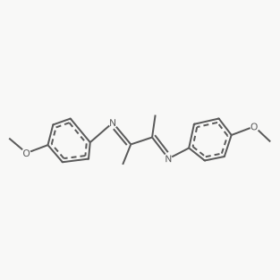 COc1ccc(/N=C(C)/C(C)=N/c2ccc(OC)cc2)cc1